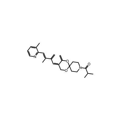 C=C1OC2(CCN(C(=O)C(C)C)CC2)OC/C1=C/C(=C)/C(C)=C/c1ncccc1C